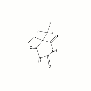 CCC1(C(F)(F)F)C(=O)NC(=O)NC1=O